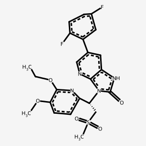 CCOc1nc([C@@H](CS(C)(=O)=O)n2c(=O)[nH]c3cc(-c4cc(F)ccc4F)cnc32)ccc1OC